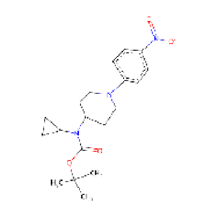 CC(C)(C)OC(=O)N(C1CC1)C1CCN(c2ccc([N+](=O)[O-])cc2)CC1